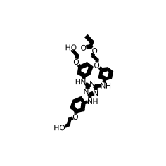 C=CC(=O)OCCOc1cccc(Nc2nc(Nc3cccc(OCCO)c3)nc(Nc3cccc(OCCO)c3)n2)c1